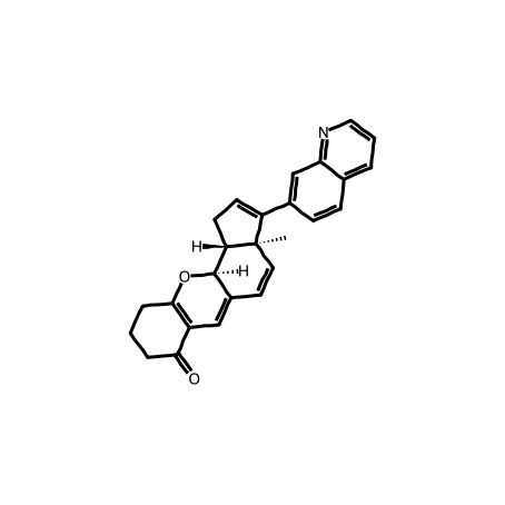 C[C@]12C=CC3=CC4=C(CCCC4=O)O[C@H]3[C@@H]1CC=C2c1ccc2cccnc2c1